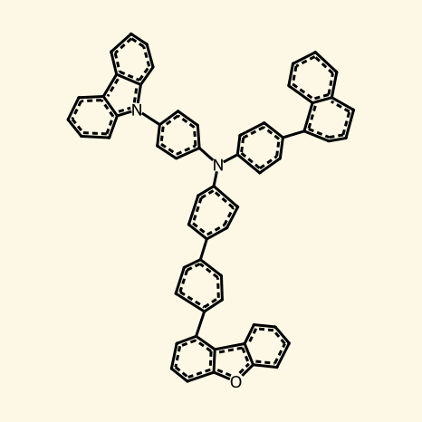 c1ccc2c(-c3ccc(N(c4ccc(-c5ccc(-c6cccc7oc8ccccc8c67)cc5)cc4)c4ccc(-n5c6ccccc6c6ccccc65)cc4)cc3)cccc2c1